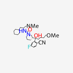 CNCC(CC1CCCCC1)NC(=O)N1CCC[C@@H]([C@@](O)(CCCCOC)c2cc(F)ccc2C#N)C1